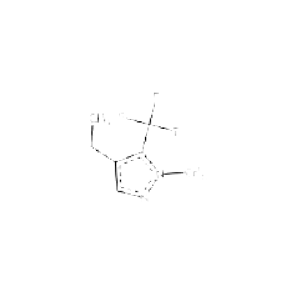 CCc1cnn(C)c1C(F)(F)F